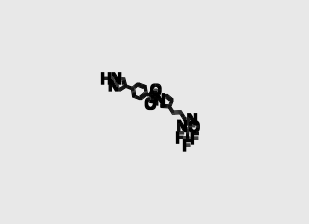 O=S(=O)(c1ccc(-c2cn[nH]c2)cc1)n1ccc(/C=C/c2noc(C(F)(F)F)n2)c1